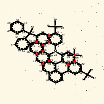 CC(C)(C)c1cc(-c2cccc3cccc(-c4ccccc4N(c4ccc(C(C)(C)C)cc4-c4ccccc4)c4ccccc4-c4cccc5c4-c4ccccc4C5(C)c4ccccc4)c23)cc(C(C)(C)C)c1